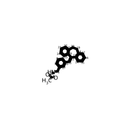 CS(=O)(=O)NCc1cccc(C=C2c3ccccc3CCc3ccccc32)c1